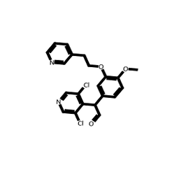 COc1ccc(C(C=O)c2c(Cl)cncc2Cl)cc1OCCc1cccnc1